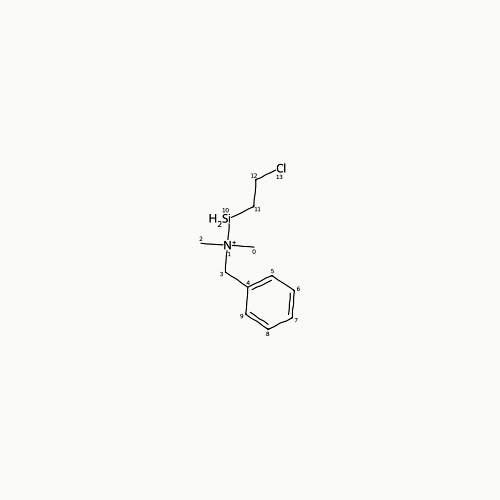 C[N+](C)(Cc1ccccc1)[SiH2]CCCl